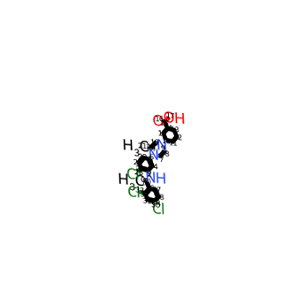 C[C@@H](Nc1cc(N2CCN(C3CCCC(C(=O)O)C3)C[C@@H]2C)ccc1Cl)c1ccc(Cl)cc1Cl